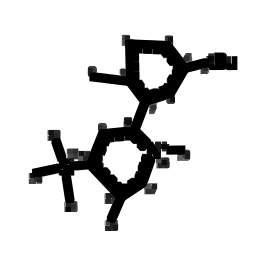 Cc1ccc(C(C)(C)C)cc1-c1cc([Si](C)(C)C)c(C)c[n+]1C